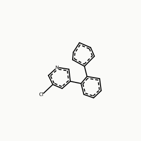 Clc1cncc(-c2ccccc2-c2ccccc2)c1